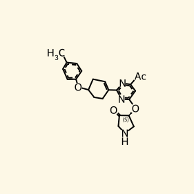 CC(=O)c1cc(O[C@H]2CNCC2=O)nc(C2=CCC(Oc3ccc(C)cc3)CC2)n1